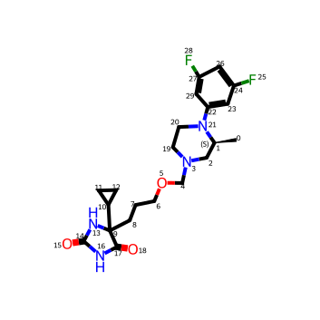 C[C@H]1CN(COCCCC2(C3CC3)NC(=O)NC2=O)CCN1c1cc(F)cc(F)c1